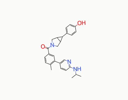 Cc1ccc(C(=O)N2CC3C(C2)C3c2ccc(O)cc2)cc1-c1ccc(NC(C)C)nc1